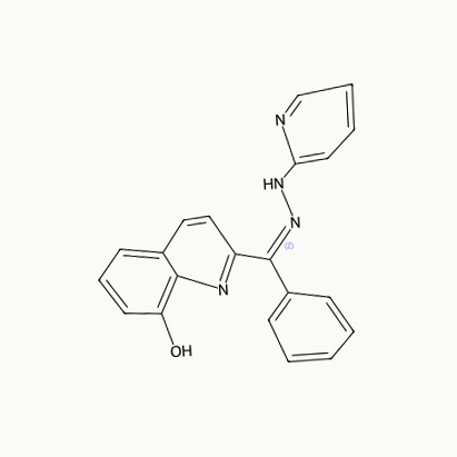 Oc1cccc2ccc(/C(=N\Nc3ccccn3)c3ccccc3)nc12